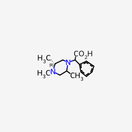 CC1CN(C)[C@H](C)CN1C(C(=O)O)c1ccccc1